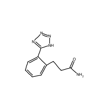 NC(=O)CCc1ccccc1-c1nnn[nH]1